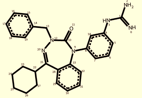 N=C(N)Nc1cccc(N2C(=O)N(Cc3ccccc3)N=C(C3CCCCC3)c3ccccc32)c1